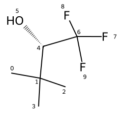 CC(C)(C)[C@H](O)C(F)(F)F